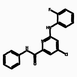 O=C(Nc1ccccc1)c1cc(Cl)cc(Nc2ccccc2F)n1